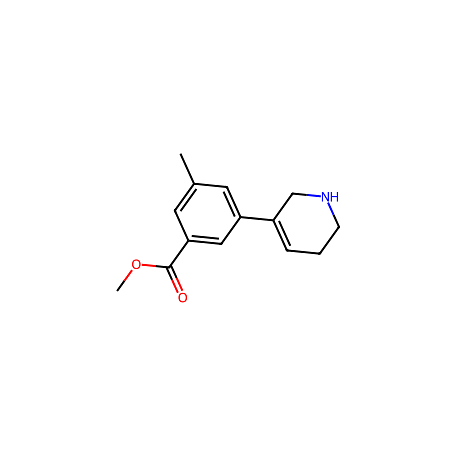 COC(=O)c1cc(C)cc(C2=CCCNC2)c1